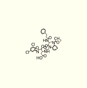 CC(=O)N1CC(NC(=O)CCc2ccccc2)C(=O)N(CC(=O)NC(CC(=O)O)C(=O)c2nc3cc(Cl)cc(Cl)c3o2)c2ccccc21